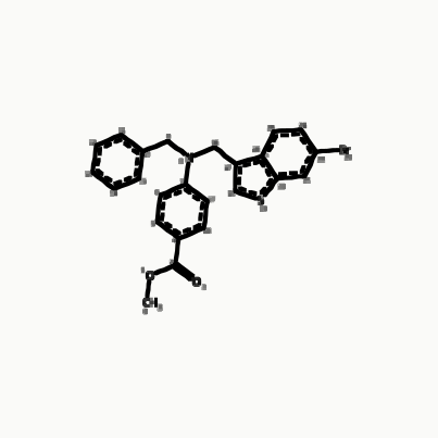 COC(=O)c1ccc(N(Cc2ccccc2)Cc2csc3cc(Br)ccc23)cc1